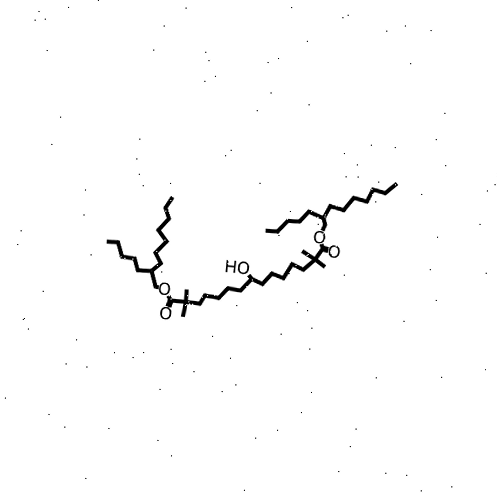 CCCCCCCC(CCCCC)COC(=O)C(C)(C)CCCCCC(O)CCCCCC(C)(C)C(=O)OCC(CCCCC)CCCCCCC